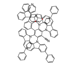 N#Cc1c(-n2c3ccccc3c3cc(-c4ccccc4)ccc32)c(-n2c3ccccc3c3cc(-c4ccccc4)ccc32)c(-c2cccc3c2-c2ccccc2C32c3ccccc3-c3cnccc32)c(-n2c3ccccc3c3cc(-c4ccccc4)ccc32)c1-n1c2ccccc2c2cc(-c3ccccc3)ccc21